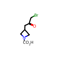 O=C(CBr)CC1CN(C(=O)O)C1